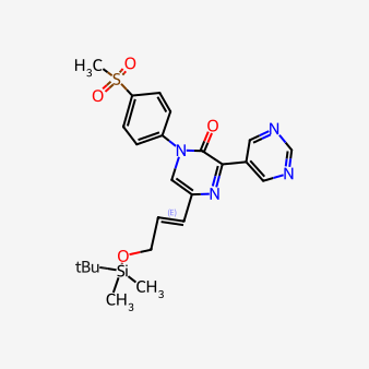 CC(C)(C)[Si](C)(C)OC/C=C/c1cn(-c2ccc(S(C)(=O)=O)cc2)c(=O)c(-c2cncnc2)n1